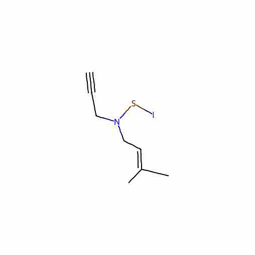 C#CCN(CC=C(C)C)SI